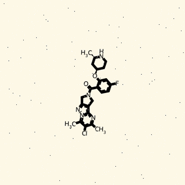 Cc1nc2c3c(nn2c(C)c1Cl)CN(C(=O)c1ccc(F)cc1O[C@@H]1CCN[C@@H](C)C1)C3